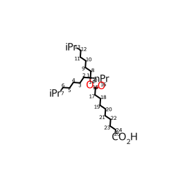 CCCC(CCCCCC(C)C)(CCCCCC(C)C)OC(=O)CCCCCCCCC(=O)O